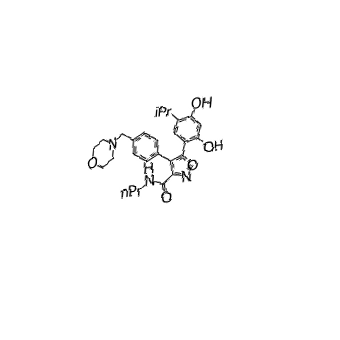 CCCNC(=O)c1noc(-c2cc(C(C)C)c(O)cc2O)c1-c1ccc(CN2CCOCC2)cc1